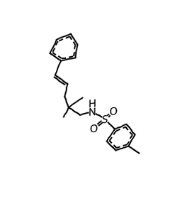 Cc1ccc(S(=O)(=O)NCC(C)(C)CC=Cc2ccccc2)cc1